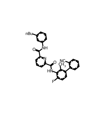 CCCCc1cccc(NC(=O)c2cccc(C(=O)Nc3c(F)ccc(-c4ccccc4C#N)c3C)n2)c1